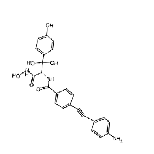 Nc1ccc(C#Cc2ccc(C(=O)N[C@H](C(=O)NO)C(O)(O)c3ccc(O)cc3)cc2)cc1